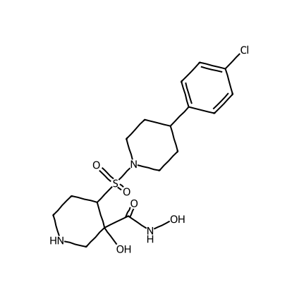 O=C(NO)C1(O)CNCCC1S(=O)(=O)N1CCC(c2ccc(Cl)cc2)CC1